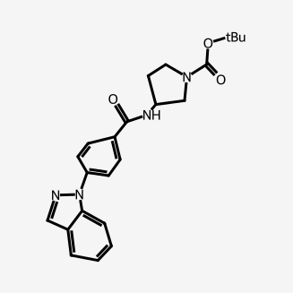 CC(C)(C)OC(=O)N1CCC(NC(=O)c2ccc(-n3ncc4ccccc43)cc2)C1